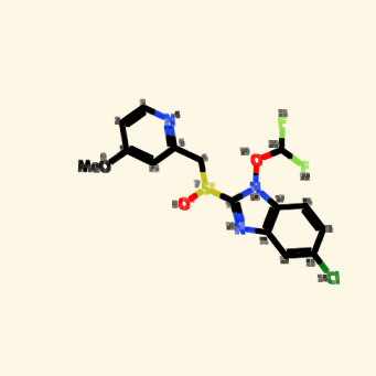 COc1ccnc(C[S+]([O-])c2nc3cc(Cl)ccc3n2OC(F)F)c1